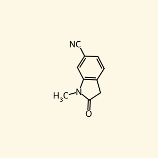 CN1C(=O)Cc2ccc(C#N)cc21